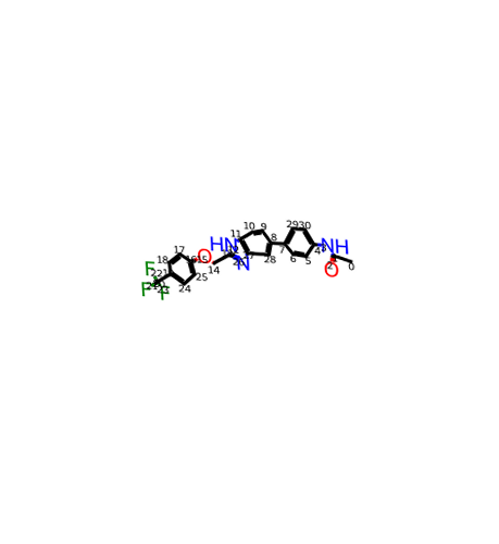 CC(=O)Nc1ccc(-c2ccc3[nH]c(COc4ccc(C(F)(F)F)cc4)nc3c2)cc1